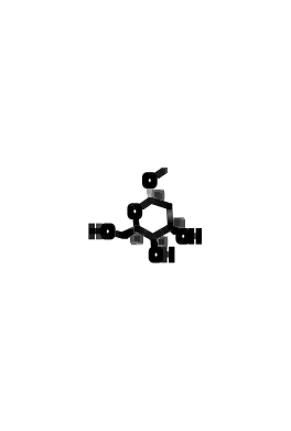 CO[C@@H]1C[C@@H](O)[C@@H](O)[C@@H](CO)O1